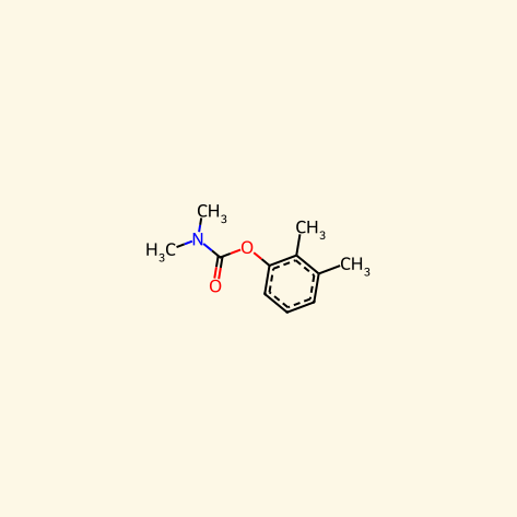 Cc1cccc(OC(=O)N(C)C)c1C